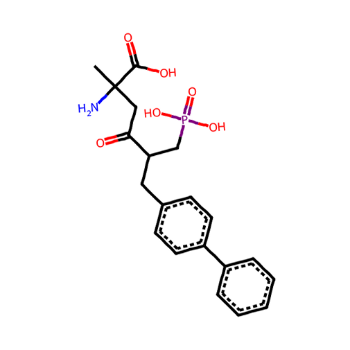 CC(N)(CC(=O)C(Cc1ccc(-c2ccccc2)cc1)CP(=O)(O)O)C(=O)O